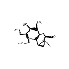 Cc1c(O)c(CO)c(CO)c2c1CC(=O)[C@@H]1CC21